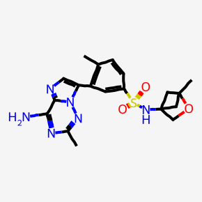 Cc1nc(N)c2ncc(-c3cc(S(=O)(=O)NC45COC(C)(C4)C5)ccc3C)n2n1